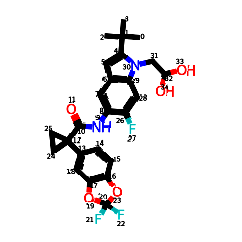 CC(C)(C)c1cc2cc(NC(=O)C3(c4ccc5c(c4)OC(F)(F)O5)CC3)c(F)cc2n1CC(O)O